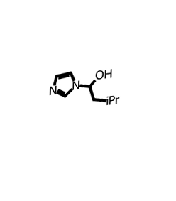 CC(C)CC(O)n1ccnc1